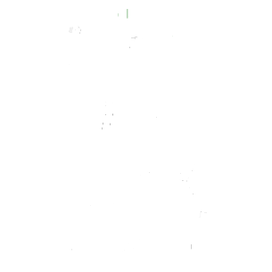 Cc1ccccc1-c1c(C(C)C)ccc2c1C=C(CC(C)C)[CH]2[Zr]([Cl])[Cl]